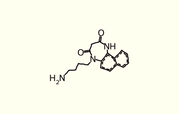 NCCCCN1C(=O)CC(=O)Nc2c1ccc1ccccc21